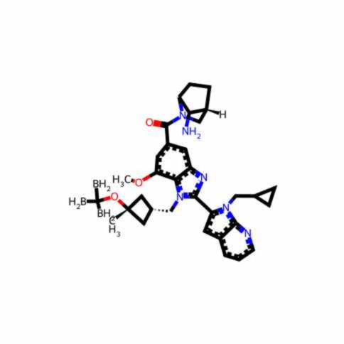 BC(B)(B)O[C@]1(C)C[C@H](Cn2c(-c3cc4cccnc4n3CC3CC3)nc3cc(C(=O)N4C[C@H]5CCC4C5N)cc(OC)c32)C1